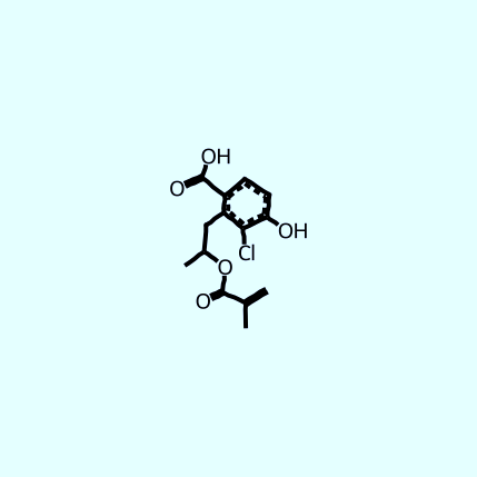 C=C(C)C(=O)OC(C)Cc1c(C(=O)O)ccc(O)c1Cl